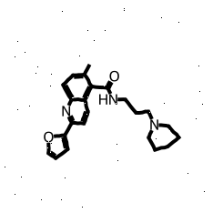 Cc1ccc2nc(-c3ccco3)ccc2c1C(=O)NCCCN1CCCCC1